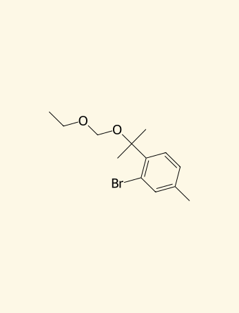 CCOCOC(C)(C)c1ccc(C)cc1Br